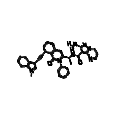 C[C@H](NC(=O)c1c(N)nn2cccnc12)c1cc2cccc(C#Cc3cn(C)c4ccccc34)c2c(=O)n1-c1ccccc1